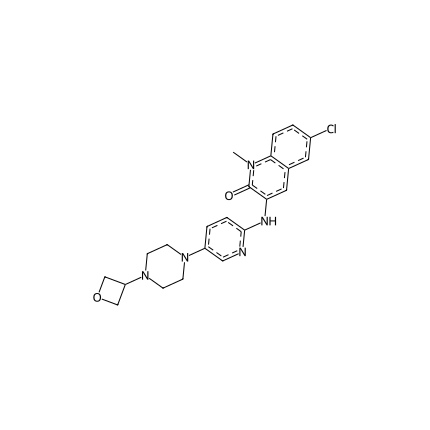 Cn1c(=O)c(Nc2ccc(N3CCN(C4COC4)CC3)cn2)cc2cc(Cl)ccc21